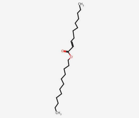 CCCCCCCCC=CC(=O)OCCCCCCCCCCCC